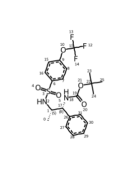 C[C@H](NS(=O)(=O)c1ccc(OC(F)(F)F)cc1)[C@H](NC(=O)OC(C)(C)C)c1ccccc1